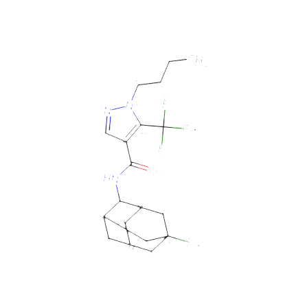 CCCCn1ncc(C(=O)NC2C3CC4CC2CC(F)(C4)C3)c1C(F)(F)F